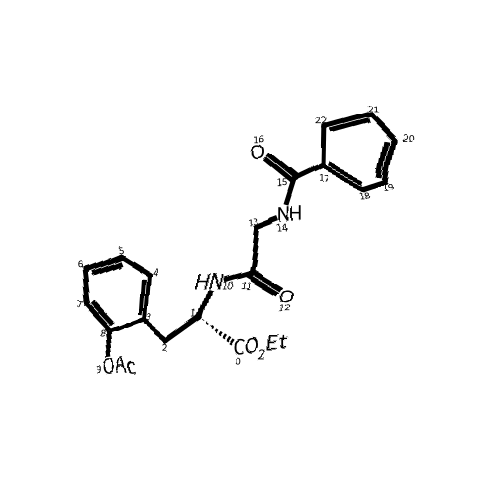 CCOC(=O)[C@H](Cc1ccccc1OC(C)=O)NC(=O)CNC(=O)c1ccccc1